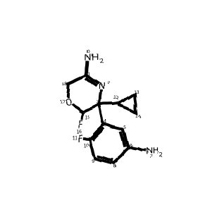 NC1=NC(c2cc(N)ccc2F)(C2CC2)C(F)OC1